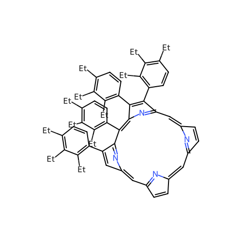 CCc1ccc(C2=CC3=CC4=NC(=CC5=NC(=CC6=NC(=C(c7ccc(CC)c(CC)c7CC)C2=N3)C(c2ccc(CC)c(CC)c2CC)=C6c2ccc(CC)c(CC)c2CC)C=C5)C=C4)c(CC)c1CC